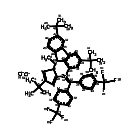 CCC1C=C(C(C)(C)C)C=[C]1[Zr+2](=[C](c1ccc(C(F)(F)F)cc1)c1ccc(C(F)(F)F)cc1)[c]1cc(C(C)(C)C)cc2c1Cc1ccc(C(C)(C)C)cc1-2.[Cl-].[Cl-]